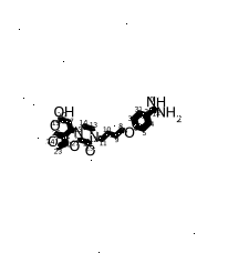 N=C(N)c1ccc(OCCCCN2CCN(C(CC(=O)O)c3ccoc3)C(=O)C2=O)cc1